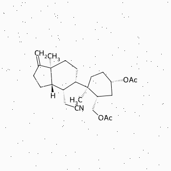 C=C1CC[C@H]2[C@@H](CC#N)[C@@H]([C@@]3(C)CC[C@H](OC(C)=O)C[C@@H]3COC(C)=O)CC[C@]12C